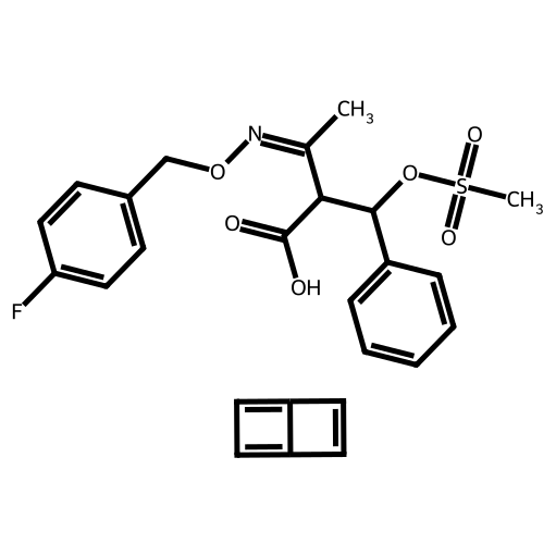 CC(=NOCc1ccc(F)cc1)C(C(=O)O)C(OS(C)(=O)=O)c1ccccc1.c1cc2ccc1-2